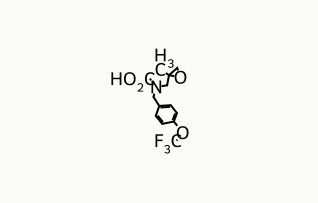 CC1(CN(Cc2ccc(OC(F)(F)F)cc2)C(=O)O)CO1